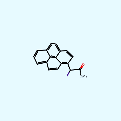 COC(=O)C(I)c1ccc2ccc3cccc4ccc1c2c34